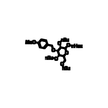 CCCCCCOC1OC(COCCCC)[C@H](OCCCC)[C@H](OCc2ccc(OC)cc2)[C@@H]1OCCCC